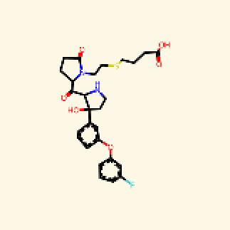 O=C(O)CCCSCCN1C(=O)CCC1C(=O)C1NCCC1(O)c1cccc(Oc2cccc(F)c2)c1